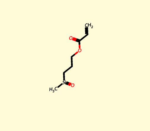 C=CC(=O)OCCC[Si](C)=O